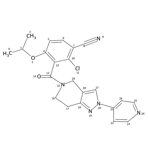 CC(C)Oc1ccc(C#N)c(Cl)c1C(=O)N1CCc2nn(-c3ccncc3)cc2C1